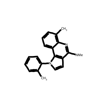 CNc1nc2c(C)cccc2c2c1ccn2-c1ccccc1C